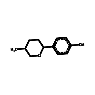 CC1CCC(c2ccc(O)cc2)OC1